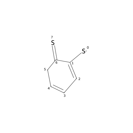 [S]C1=CC=CCC1=S